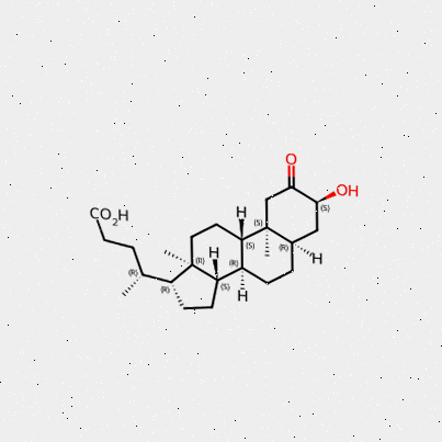 C[C@H](CCC(=O)O)[C@H]1CC[C@H]2[C@@H]3CC[C@@H]4C[C@H](O)C(=O)C[C@]4(C)[C@H]3CC[C@]12C